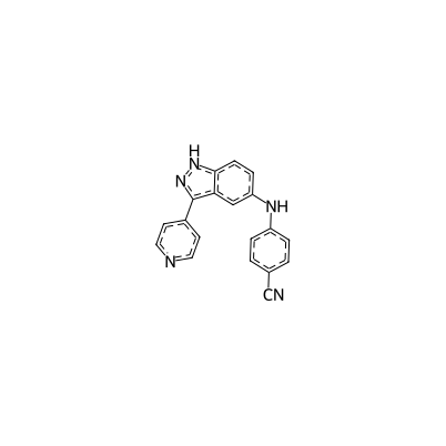 N#Cc1ccc(Nc2ccc3[nH]nc(-c4ccncc4)c3c2)cc1